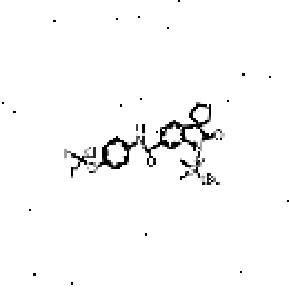 CC(C)(C)[Si](C)(C)ON1C(=O)C2(CCCC2)c2ccc(C(=O)Nc3ccc(OC(F)(F)Cl)cc3)cc21